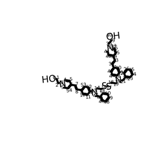 OCC[n+]1ccc(/C=C/c2ccc(N(CCSSCCN(Cc3ccccc3)c3ccc(/C=C/c4cc[n+](CCO)cc4)cc3)Cc3ccccc3)cc2)cc1